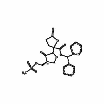 CS(=O)(=O)OC[C@@H]1CON(C2(C(=O)OC(c3ccccc3)c3ccccc3)CCC(=O)O2)C1=O